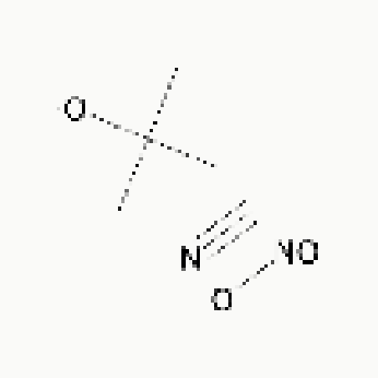 C#N.CC(C)(C)[O].O=[NH+][O-]